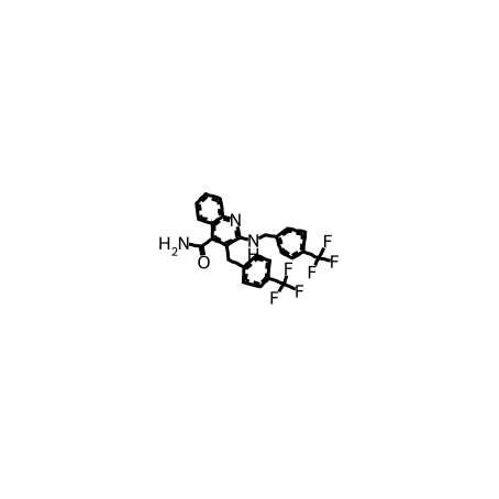 NC(=O)c1c(Cc2ccc(C(F)(F)F)cc2)c(NCc2ccc(C(F)(F)F)cc2)nc2ccccc12